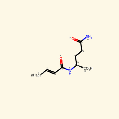 CCCCCCCC=CC(=O)N[C@@H](CCC(N)=O)C(=O)O